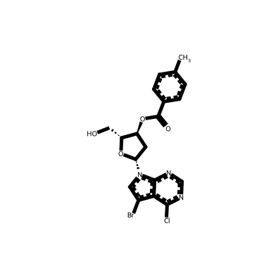 Cc1ccc(C(=O)O[C@H]2C[C@H](n3cc(Br)c4c(Cl)ncnc43)O[C@@H]2CO)cc1